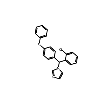 Clc1ccccc1C(c1ccc(Oc2ccccc2)cc1)n1ccnc1